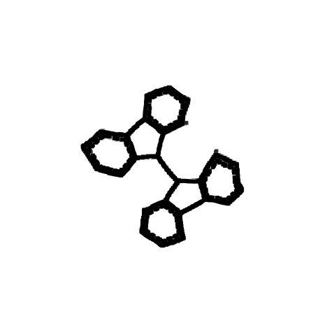 [c]1cccc2c1C(C1c3[c]cccc3-c3ccccc31)c1ccccc1-2